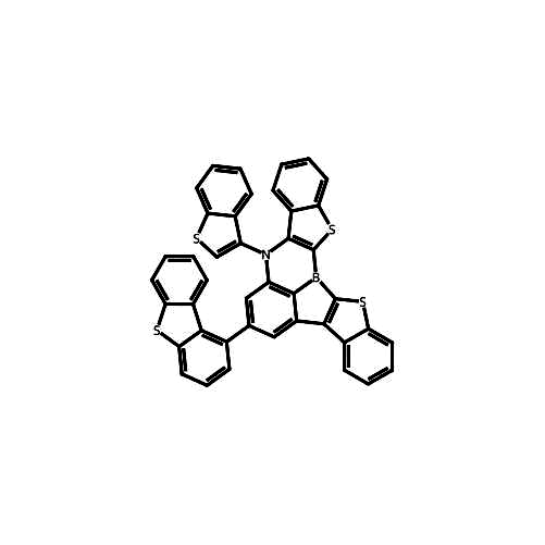 c1ccc2c(N3c4cc(-c5cccc6sc7ccccc7c56)cc5c4B(c4sc6ccccc6c4-5)c4sc5ccccc5c43)csc2c1